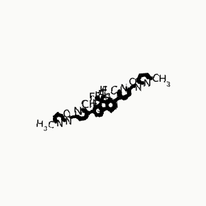 Cc1ccc2oc(-c3ccc(-c4ccc5c(c4)C(C(F)(F)F)(C(F)(F)F)c4cc(-c6ccc(-c7nc8nc(C)ccc8o7)nc6C)ccc4-5)c(C)n3)nc2n1